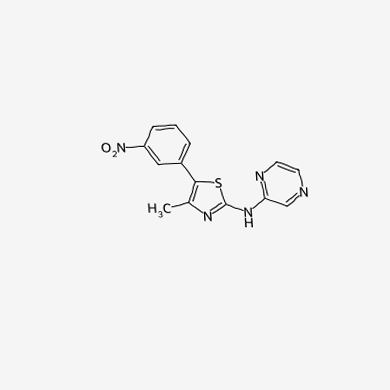 Cc1nc(Nc2cnccn2)sc1-c1cccc([N+](=O)[O-])c1